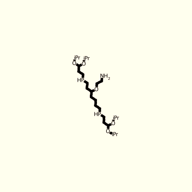 CC(C)OC(CCPCCCCC(CCPCCC(OC(C)C)OC(C)C)OCCN)OC(C)C